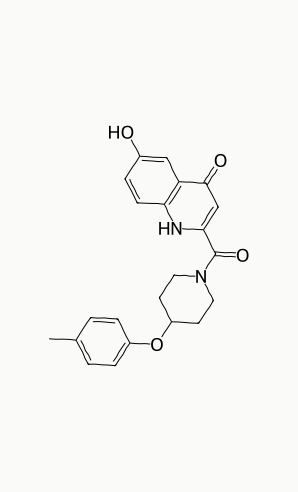 Cc1ccc(OC2CCN(C(=O)c3cc(=O)c4cc(O)ccc4[nH]3)CC2)cc1